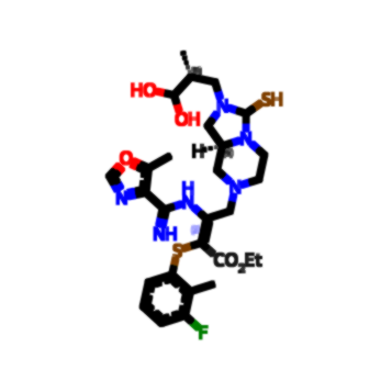 CCOC(=O)/C(Sc1cccc(F)c1C)=C(\CN1CCN2C(S)N(C[C@@H](C)C(O)O)C[C@@H]2C1)NC(=N)c1ncoc1C